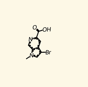 Cn1cc(Br)c2cc(C(=O)O)ncc21